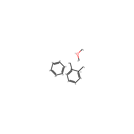 COC.Cc1ccccc1C.c1ccccc1